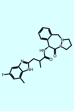 Cc1cc(F)cc2nc(CC(C)C(=O)N[C@@H]3C(=O)N4CCCN4Cc4ccccc43)[nH]c12